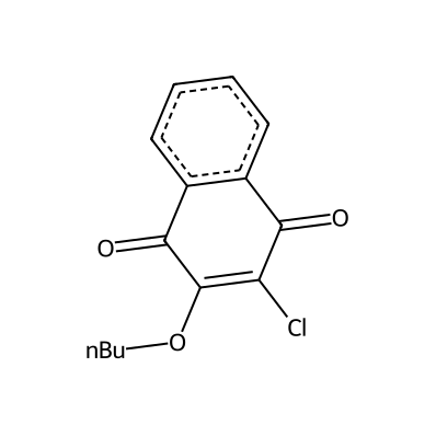 CCCCOC1=C(Cl)C(=O)c2ccccc2C1=O